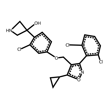 OC1(c2ccc(OCc3c(-c4c(Cl)cccc4Cl)noc3C3CC3)cc2Cl)CNC1